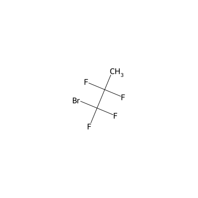 CC(F)(F)C(F)(F)Br